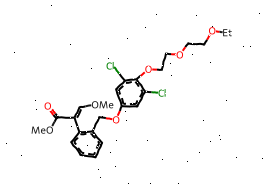 CCOCCOCCOc1c(Cl)cc(OCc2ccccc2/C(=C\OC)C(=O)OC)cc1Cl